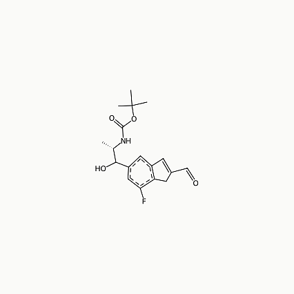 C[C@H](NC(=O)OC(C)(C)C)C(O)c1cc(F)c2c(c1)C=C(C=O)C2